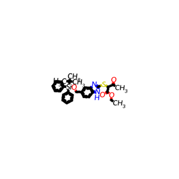 CCOC(=O)C(Sc1nc2cc(CO[Si](c3ccccc3)(c3ccccc3)C(C)(C)C)ccc2[nH]1)C(C)=O